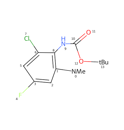 CNc1cc(F)cc(Cl)c1NC(=O)OC(C)(C)C